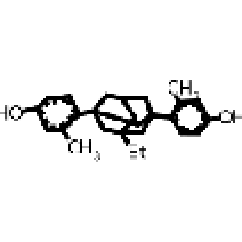 CCC12CC3CC(c4ccc(O)cc4C)(C1)CC(c1ccc(O)cc1C)(C3)C2